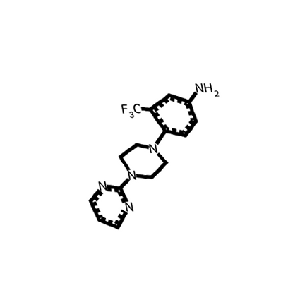 Nc1ccc(N2CCN(c3ncccn3)CC2)c(C(F)(F)F)c1